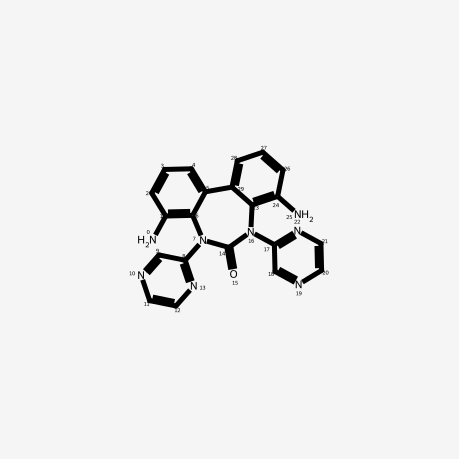 Nc1cccc2c1N(c1cnccn1)C(=O)N(c1cnccn1)c1c(N)cccc1-2